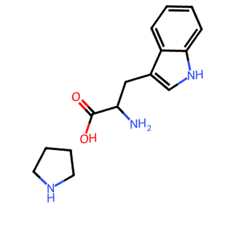 C1CCNC1.NC(Cc1c[nH]c2ccccc12)C(=O)O